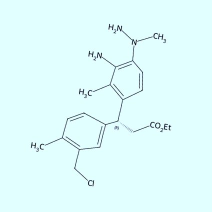 CCOC(=O)C[C@H](c1ccc(C)c(CCl)c1)c1ccc(N(C)N)c(N)c1C